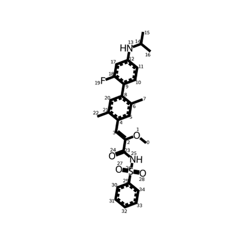 CO/C(=C\c1cc(C)c(-c2ccc(NC(C)C)cc2F)cc1C)C(=O)NS(=O)(=O)c1ccccc1